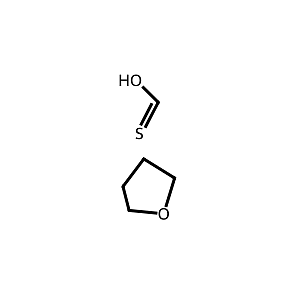 C1CCOC1.OC=S